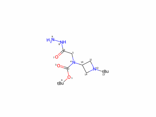 CC(C)(C)OC(=O)N(CC(=O)NN)C1CN(C(C)(C)C)C1